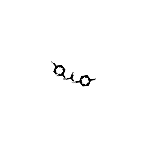 O=C(Nc1ccc(F)cc1)Nc1ccc(Br)cn1